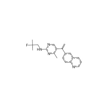 C=C(c1ccc2ncccc2c1)c1cnc(NCC(C)(C)F)nc1C